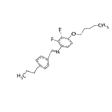 CCCCCOc1ccc(N=Cc2ccc(CCC)cc2)c(F)c1F